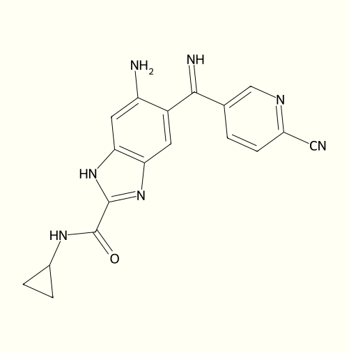 N#Cc1ccc(C(=N)c2cc3nc(C(=O)NC4CC4)[nH]c3cc2N)cn1